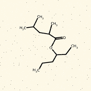 CCCC(CC)OC(=O)C(C)CC(C)C